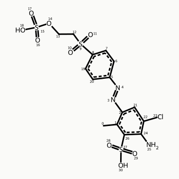 Cc1c(N=Nc2ccc(S(=O)(=O)CCOS(=O)(=O)O)cc2)cc(Cl)c(N)c1S(=O)(=O)O